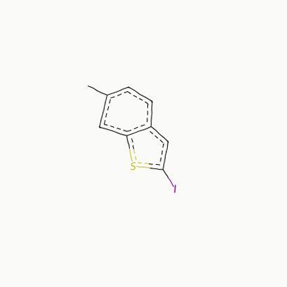 Cc1ccc2cc(I)sc2c1